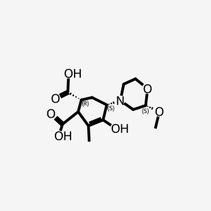 CO[C@@H]1CN([C@H]2C[C@@H](C(=O)O)C(C(=O)O)C(C)=C2O)CCO1